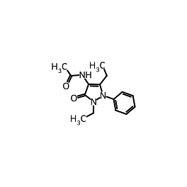 CCc1c(NC(C)=O)c(=O)n(CC)n1-c1ccccc1